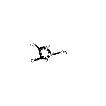 Cn1nc(N)c(Cl)n1